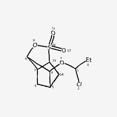 CCC(Cl)OC1C2CC3C1OS(=O)(=O)C3C2